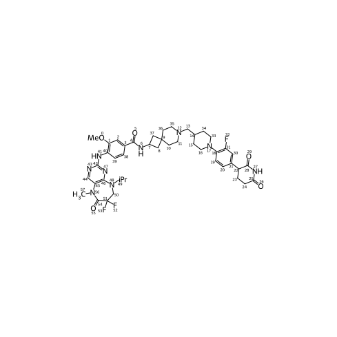 COc1cc(C(=O)NC2CC3(CCN(CC4CCN(c5ccc(C6CCC(=O)NC6=O)cc5F)CC4)CC3)C2)ccc1Nc1ncc2c(n1)N(C(C)C)CC(F)(F)C(=O)N2C